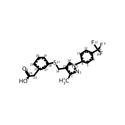 Cc1nn(-c2ccc(C(F)(F)F)cc2)cc1CSc1cccc(CC(=O)O)c1